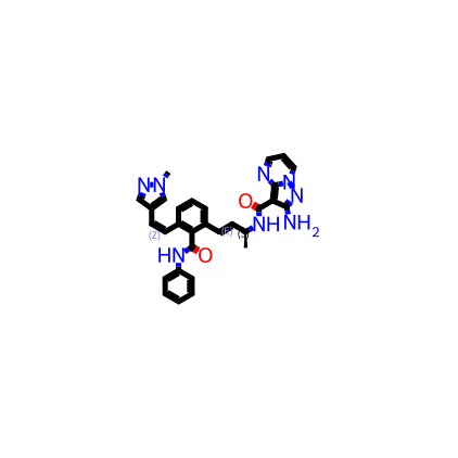 C[C@@H](/C=C/c1cccc(/C=C\c2cnn(C)c2)c1C(=O)Nc1ccccc1)NC(=O)c1c(N)nn2cccnc12